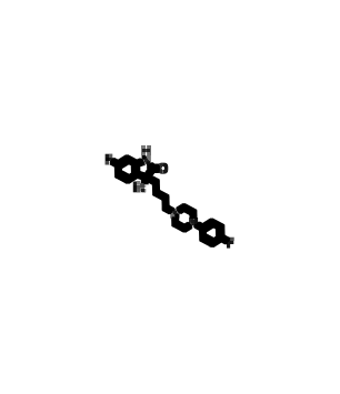 CCC1(CCCCN2CCN(c3ccc(F)cc3)CC2)C(=O)Nc2cc(F)ccc21